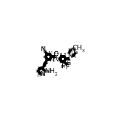 CN1CCN(Cc2ccc(NC(=O)c3cc(C#N)cc(C#Cc4cccnc4N)c3)cc2C(F)(F)F)CC1